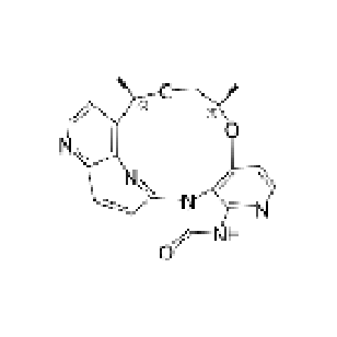 C[C@@H]1CC[C@H](C)c2ccnc3ccc(nc23)-n2c(=O)[nH]c3nccc(c32)O1